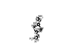 COC1C2COP(=O)(O)OC3C(CNS(=O)(=O)OC1C(n1cnc4c(=O)[nH]c(N)nc41)O2)CC(n1cnc2c(N)ncnc21)C3O